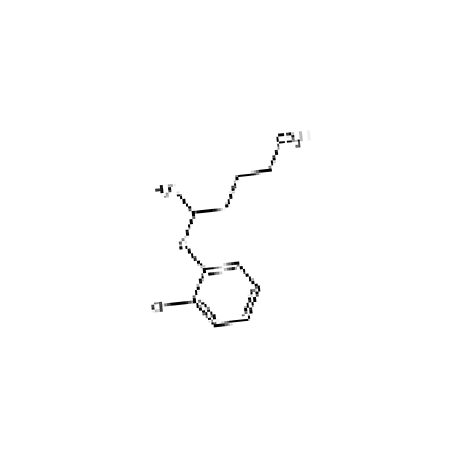 CC(CCCC(=O)O)Oc1ccccc1Cl